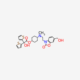 CN(CCn1c(=O)oc2cc(CO)ccc21)C1CCC(OC(=O)C(O)(c2cccs2)c2cccs2)CC1